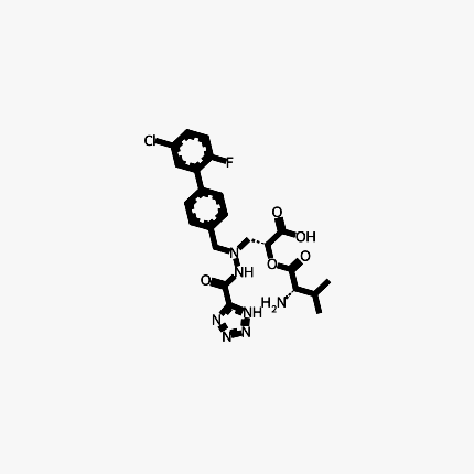 CC(C)[C@H](N)C(=O)O[C@H](CN(Cc1ccc(-c2cc(Cl)ccc2F)cc1)NC(=O)c1nnn[nH]1)C(=O)O